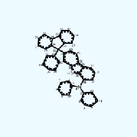 c1ccc(N(c2ccccc2)c2cccc3c2sc2cc(C4(c5ccccc5)c5ccccc5-c5ccccc54)ccc23)cc1